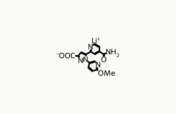 COc1ccc(-n2nc(C(=O)[O-])cc2-c2cc(C(N)=O)ccn2)cn1.[Li+]